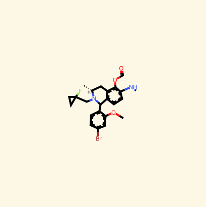 CNc1ccc2c(c1OC=O)C[C@@H](C)N(CC1(F)CC1)C2c1ccc(Br)cc1OC